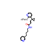 CCCCCc1ncccc1C1(C=CC(=O)NCCCCc2cccnc2)CC1